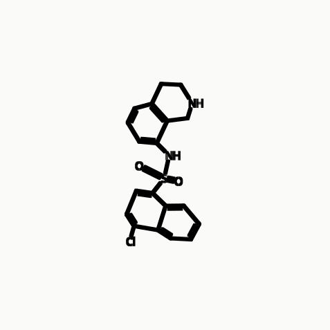 O=S(=O)(Nc1cccc2c1CNCC2)c1ccc(Cl)c2ccccc12